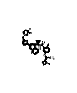 Cc1ccc(OC([SiH3])[C@@H]2CCN2C)cc1C(=O)NC1(c2cc(-c3ccc(CN4CCC(F)(F)C4)s3)cc3ncccc23)CC1